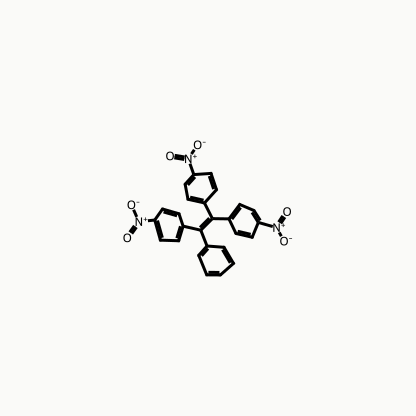 O=[N+]([O-])c1ccc(C(=C(c2ccc([N+](=O)[O-])cc2)c2ccc([N+](=O)[O-])cc2)c2ccccc2)cc1